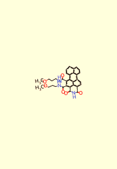 COCCCNC(=O)c1c2c3c(ccc4c5cccc6cccc(c(c1C(=O)NCCCOC)c34)c65)C(=O)NC2=O